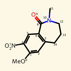 COc1cc2c(cc1[N+](=O)[O-])C(=O)N(C)CCC2